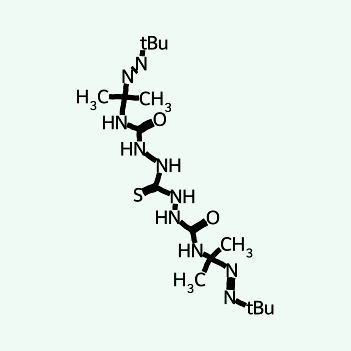 CC(C)(C)/N=N/C(C)(C)NC(=O)NNC(=S)NNC(=O)NC(C)(C)/N=N/C(C)(C)C